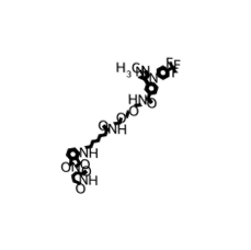 Cn1cc2c3cc(C(=O)NCCOCCOCCNC(=O)CCCCCCNc4cccc5c4C(=O)N(C4CCC(=O)NC4=O)C5=O)ccc3n(-c3ccc(C(F)(F)F)cc3)c2n1